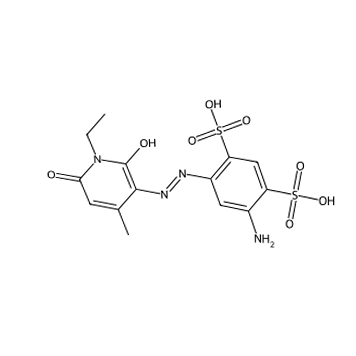 CCn1c(O)c(N=Nc2cc(N)c(S(=O)(=O)O)cc2S(=O)(=O)O)c(C)cc1=O